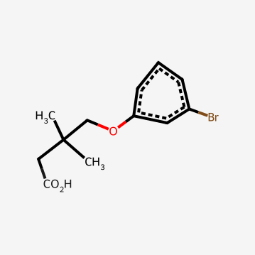 CC(C)(COc1cccc(Br)c1)CC(=O)O